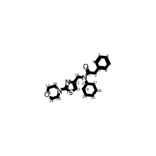 O=C(Cc1ccccc1)N(Cc1csc(N2CCOCC2)n1)C1CCCCC1